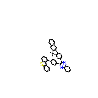 CC1(C)c2cc(-c3nc4ccccc4nc3-c3ccc(-c4cccc5sc6ccccc6c45)cc3)ccc2-c2cc3ccccc3cc21